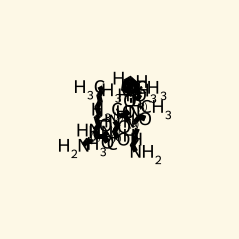 CCCCCCCC(=O)N[C@@H](CCN)C(=O)N[C@H](C(=O)N[C@@H](C)C(=O)N[C@@H](CCCCN)C(=O)N[C@@H](C)B1O[C@@H]2C[C@@H]3C[C@@H](C3(C)C)[C@]2(C)O1)[C@@H](C)O